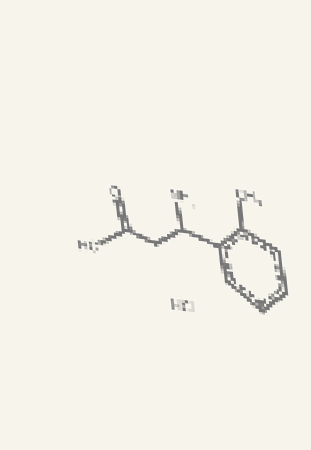 Cc1ccccc1C(N)CC(=O)O.Cl